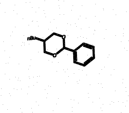 CCCCC1COC(c2ccccc2)OC1